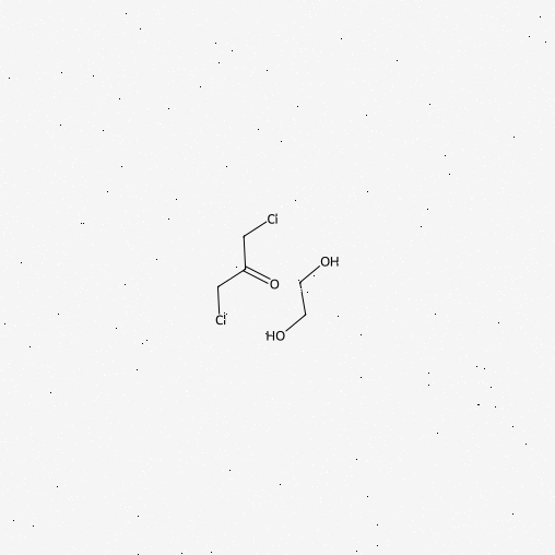 O=C(CCl)CCl.OCCO